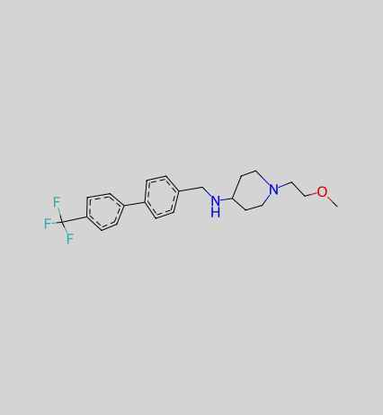 COCCN1CCC(NCc2ccc(-c3ccc(C(F)(F)F)cc3)cc2)CC1